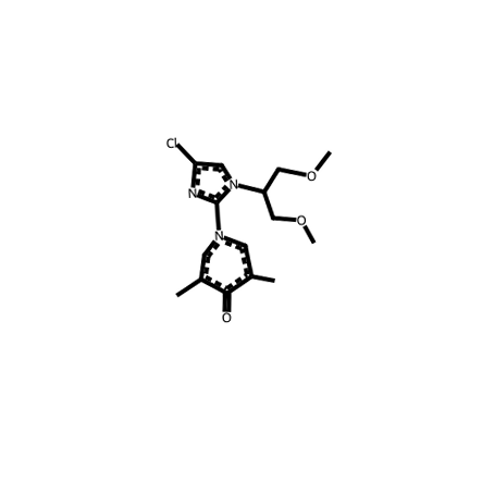 COCC(COC)n1cc(Cl)nc1-n1cc(C)c(=O)c(C)c1